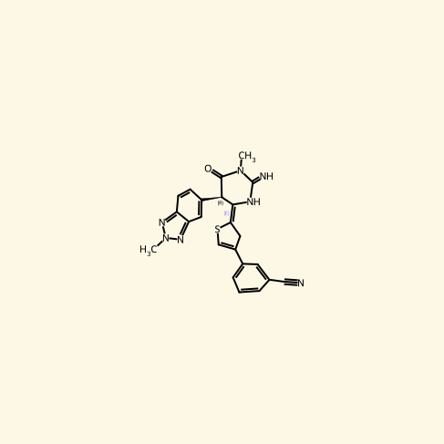 CN1C(=N)N/C(=C2\CC(c3cccc(C#N)c3)=CS2)[C@@H](c2ccc3nn(C)nc3c2)C1=O